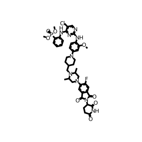 COc1cc(N2CCC(CN3C(C)CN(c4cc5c(cc4F)C(=O)N(C4CCC(=O)NC4=O)C5=O)CC3C)CC2)ccc1Nc1ncc(Cl)c(Nc2ccccc2P(=O)(OC)OC)n1